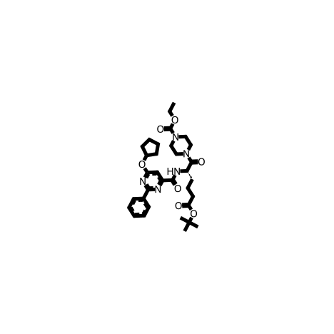 CCOC(=O)N1CCN(C(=O)[C@H](CCCC(=O)OC(C)(C)C)NC(=O)c2cc(OC3CCCC3)nc(-c3ccccc3)n2)CC1